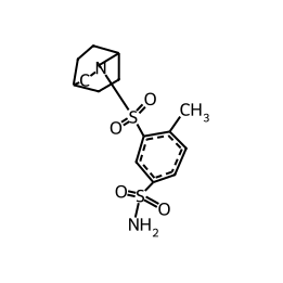 Cc1ccc(S(N)(=O)=O)cc1S(=O)(=O)N1CC2CCC(CC2)C1